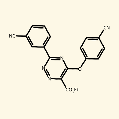 CCOC(=O)c1nnc(-c2cccc(C#N)c2)nc1Oc1ccc(C#N)cc1